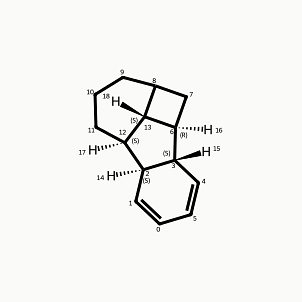 C1=C[C@@H]2[C@@H](C=C1)[C@@H]1CC3CCC[C@H]2[C@H]31